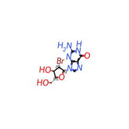 Nc1nc2c(ncn2[C@@H]2O[C@H](CO)C(O)[C@@H]2Br)c(=O)[nH]1